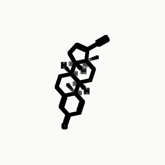 C#CC1=CC[C@H]2[C@@H]3CCC4=CC(=O)C=C[C@]4(C)[C@H]3CC[C@]12C